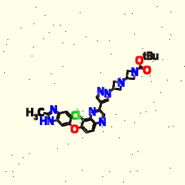 Cc1nc2ccc(Oc3ccc4ncc(-c5cnn(C6CN(C7CN(C(=O)OC(C)(C)C)C7)C6)c5)nc4c3Cl)cc2[nH]1